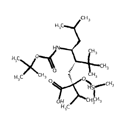 CC(C)C[C@H](NC(=O)OC(C)(C)C)[C@@H](C[C@@](O[SiH](C)C)(C(=O)O)C(C)C)C(C)(C)C